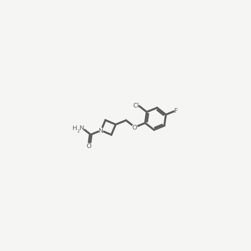 NC(=O)N1CC(COc2ccc(F)cc2Cl)C1